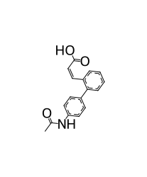 CC(=O)Nc1ccc(-c2ccccc2/C=C\C(=O)O)cc1